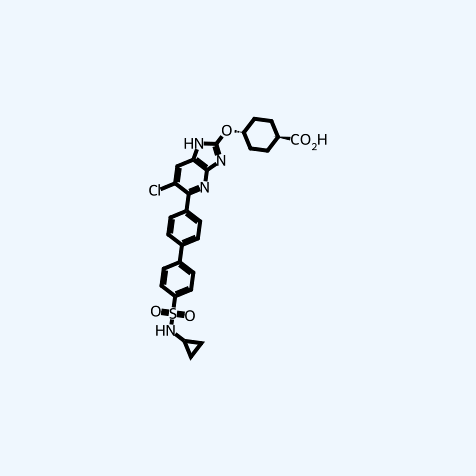 O=C(O)[C@H]1CC[C@H](Oc2nc3nc(-c4ccc(-c5ccc(S(=O)(=O)NC6CC6)cc5)cc4)c(Cl)cc3[nH]2)CC1